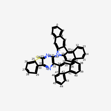 c1ccc2cc3c(cc2c1)c1c2ccccc2ccc1n3-c1nc2sc3ccccc3c2nc1-c1cc2ccccc2c2ccccc12